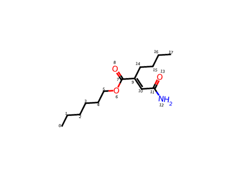 CCCCCCOC(=O)C(=CC(N)=O)CCCC